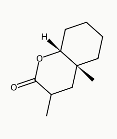 CC1C[C@@]2(C)CCCC[C@H]2OC1=O